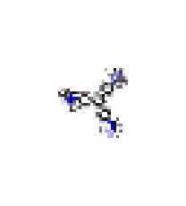 CC1=NC(C)(C)C(C)(C)N1c1ccc(-c2cc(-c3ccc(N4C(C)=NC(C)(C)C4(C)C)cc3)cc(-c3ccc(N4C(C)=NC(C)(C)C4(C)C)cc3)c2)cc1